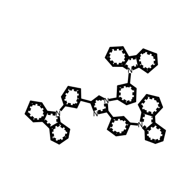 c1cc(-c2cn(-c3cccc(-n4c5ccccc5c5ccccc54)c3)c(-c3cccc(-n4c5ccccc5c5ccccc54)c3)n2)cc(-n2c3ccccc3c3ccccc32)c1